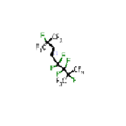 FC(F)(F)C(F)(/C=C/C(F)(F)C(F)(F)C(F)(C(F)(F)F)C(F)(F)F)C(F)(F)F